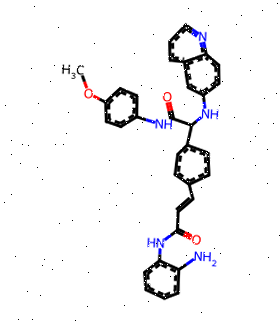 COc1ccc(NC(=O)C(Nc2ccc3ncccc3c2)c2ccc(/C=C/C(=O)Nc3ccccc3N)cc2)cc1